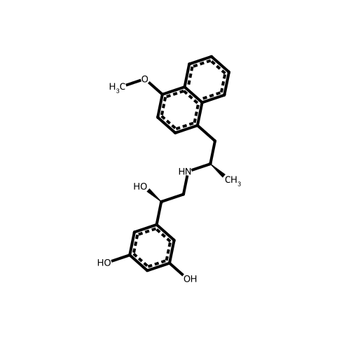 COc1ccc(C[C@@H](C)NC[C@H](O)c2cc(O)cc(O)c2)c2ccccc12